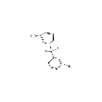 Bc1cccc(C(F)(F)c2cccc(Br)c2)c1